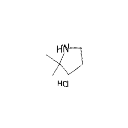 CC1(C)CCCN1.Cl